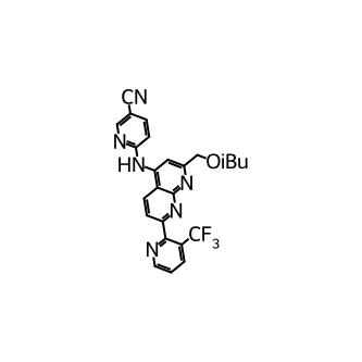 CC(C)COCc1cc(Nc2ccc(C#N)cn2)c2ccc(-c3ncccc3C(F)(F)F)nc2n1